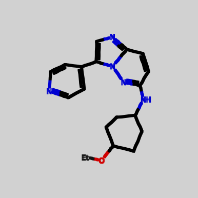 CCOC1CCC(Nc2ccc3ncc(-c4ccncc4)n3n2)CC1